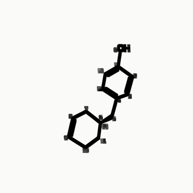 Oc1ccc(C[C@@H]2CC=CCC2)cc1